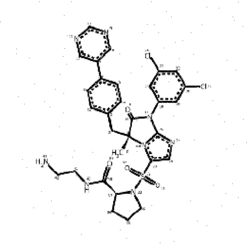 C[C@@]1(Cc2ccc(-c3cncnc3)cc2)C(=O)N(c2cc(Cl)cc(Cl)c2)c2ncc(S(=O)(=O)N3CCC[C@H]3C(=O)NCCN)n21